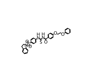 O=C(NC(=S)Nc1ccc(S(=O)(=O)N2CCc3ccccc32)cc1)c1ccc(OCCOc2ccccc2)cc1